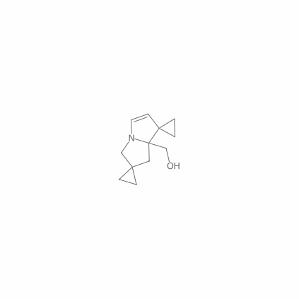 OCC12CC3(CC3)CN1C=CC21CC1